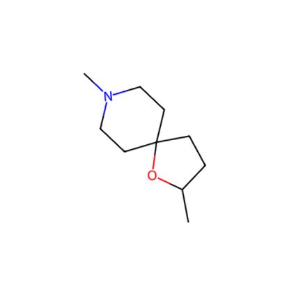 CC1CCC2(CCN(C)CC2)O1